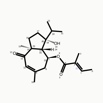 C/C=C(\C)C(=O)O[C@H]1CC(C)=CC(=O)[C@@]2(C)CC[C@@](O)(C(C)C)[C@H]12